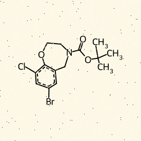 CC(C)(C)OC(=O)N1CCOc2c(Cl)cc(Br)cc2C1